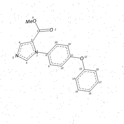 COC(=O)c1cncn1-c1ccc(Oc2ccccc2)cc1